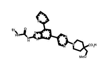 CCNC(=O)Nc1nc2cc(-c3cnc(N4CCC(COC)(C(=O)O)CC4)nc3)cc(-c3ccccn3)c2s1